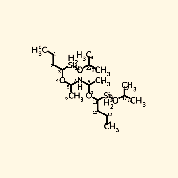 CCCC(OC(C)NC(C)OC(CCC)[SiH2]OC(C)C)[SiH2]OC(C)C